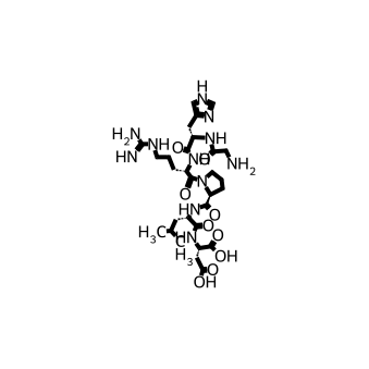 CC(C)C[C@H](NC(=O)[C@@H]1CCCN1C(=O)[C@H](CCCNC(=N)N)NC(=O)[C@H](Cc1c[nH]cn1)NC(=O)CN)C(=O)N[C@@H](CC(=O)O)C(=O)O